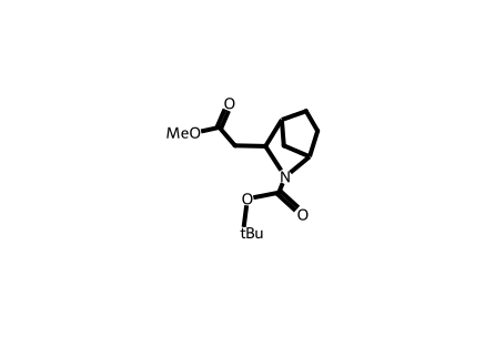 COC(=O)CC1C2CCC(C2)N1C(=O)OC(C)(C)C